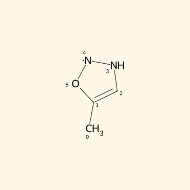 CC1=CN[N]O1